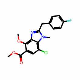 COC(=O)c1cc(Cl)c2c(nc(Cc3ccc(F)cc3)n2C)c1OC